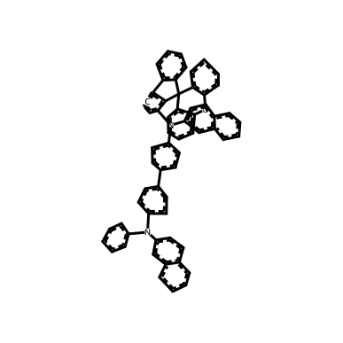 c1ccc(N(c2ccc(-c3ccc(N(c4ccc5ccccc5c4)c4cccc5c4C4(c6ccccc6Oc6ccccc64)c4ccccc4-5)cc3)cc2)c2ccc3ccccc3c2)cc1